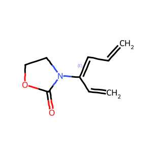 C=C/C=C(\C=C)N1CCOC1=O